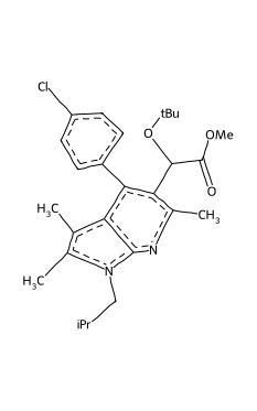 COC(=O)C(OC(C)(C)C)c1c(C)nc2c(c(C)c(C)n2CC(C)C)c1-c1ccc(Cl)cc1